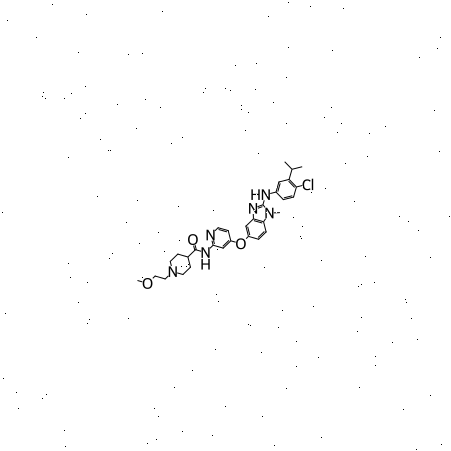 COCCN1CCC(C(=O)Nc2cc(Oc3ccc4c(c3)nc(Nc3ccc(Cl)c(C(C)C)c3)n4C)ccn2)CC1